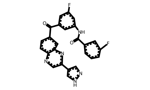 O=C(Nc1cc(F)cc(C(=O)c2ccc3ncc(-c4cn[nH]c4)nc3c2)c1)c1cccc(F)c1